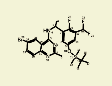 Cc1nc(NC(C)c2cc(O[Si](C)(C)C(C)(C)C)cc(C(F)F)c2F)c2cc(Br)ccc2n1